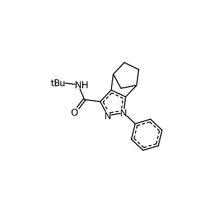 CC(C)(C)NC(=O)c1nn(-c2ccccc2)c2c1C1CCC2C1